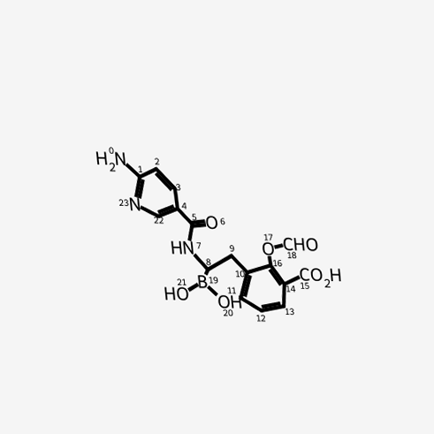 Nc1ccc(C(=O)NC(Cc2cccc(C(=O)O)c2OC=O)B(O)O)cn1